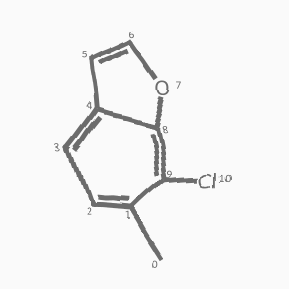 Cc1ccc2ccoc2c1Cl